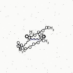 CC[N+]1=C(/C=C/C=C/C=C2/N(CCCCCC(=O)ON3C(=O)CCC3=O)c3ccccc3C2(C)CCOCCOCCOCCOC)C(C)(CCOCCOCCOCCOC)c2ccccc21